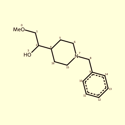 COCC(O)C1CCN(Cc2ccccc2)CC1